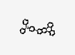 c1ccc(N(c2ccccc2)c2ccc(-c3ccc4cc5c6ccccc6c6ccccc6c5cc4c3)cc2)cc1